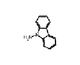 Nn1c2ccccc2c2ccccc21